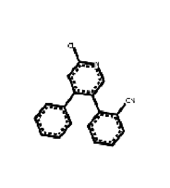 N#Cc1ccccc1-c1cnc(Cl)cc1-c1ccccc1